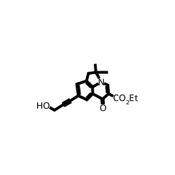 CCOC(=O)c1cn2c3c(cc(C#CCO)cc3c1=O)CC2(C)C